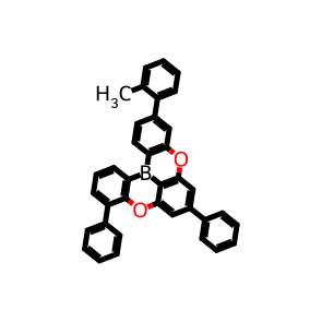 Cc1ccccc1-c1ccc2c(c1)Oc1cc(-c3ccccc3)cc3c1B2c1cccc(-c2ccccc2)c1O3